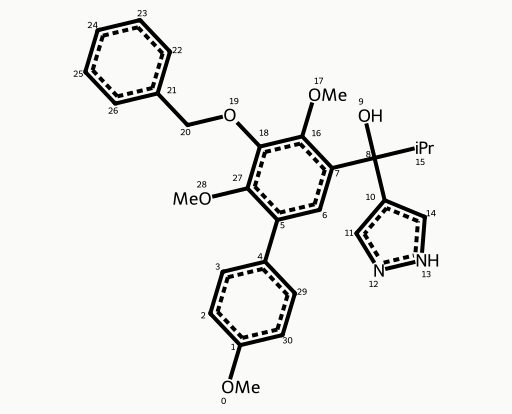 COc1ccc(-c2cc(C(O)(c3cn[nH]c3)C(C)C)c(OC)c(OCc3ccccc3)c2OC)cc1